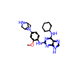 COc1cc(N2CC3CC2CN3)ccc1Nc1nc(NC2CCCCC2)c2nc[nH]c2n1